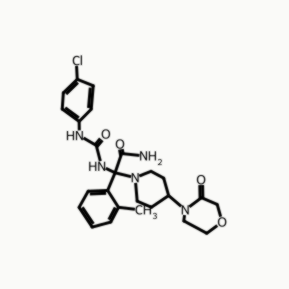 Cc1ccccc1C(NC(=O)Nc1ccc(Cl)cc1)(C(N)=O)N1CCC(N2CCOCC2=O)CC1